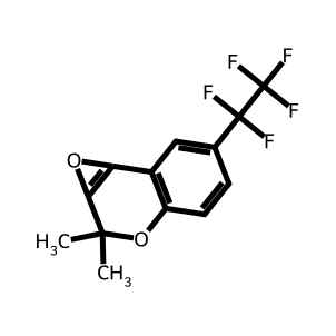 CC1(C)Oc2ccc(C(F)(F)C(F)(F)F)cc2C2=C1O2